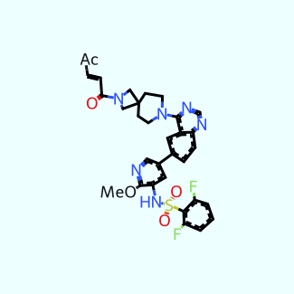 COc1ncc(-c2ccc3ncnc(N4CCC5(CC4)CN(C(=O)/C=C/C(C)=O)C5)c3c2)cc1NS(=O)(=O)c1c(F)cccc1F